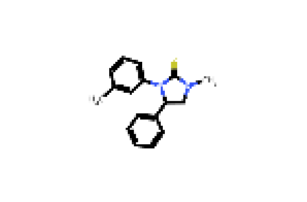 Cc1cccc(N2C(=S)N(C)CC2c2ccccc2)c1